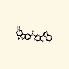 Fc1cnc(Nc2ccc3[nH]c4c(c3c2)CNCC4)nc1-c1cnc2ncccn12